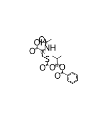 CC(=O)N[C@@H](CSC(=O)O[C@H](OC(=O)c1ccccc1)C(C)C)C(=O)O